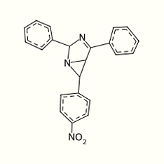 O=[N+]([O-])c1ccc(C2C3C(c4ccccc4)=NC(c4ccccc4)N32)cc1